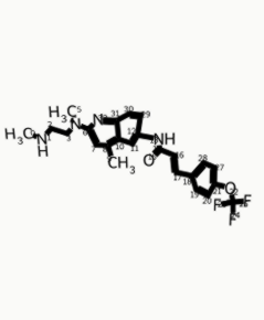 CNCCN(C)c1cc(C)c2cc(NC(=O)C=Cc3ccc(OC(F)(F)F)cc3)ccc2n1